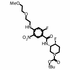 COCCOCCNc1cc(F)c(C(=O)N[C@H]2CN(C(=O)OC(C)(C)C)CC[C@@H]2F)cc1[N+](=O)[O-]